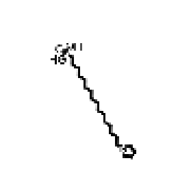 O=P(O)(O)CCCCCCCCCCCCCCCCn1cccc1